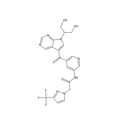 O=C(Cn1ccc(C(F)(F)F)n1)Nc1cncc(C(=O)c2cn(C(CO)CO)c3ncncc23)c1